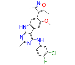 COc1cc2c(cc1-c1c(C)noc1C)[nH]c1nc(C)nc(Nc3ccc(F)c(Cl)c3)c12